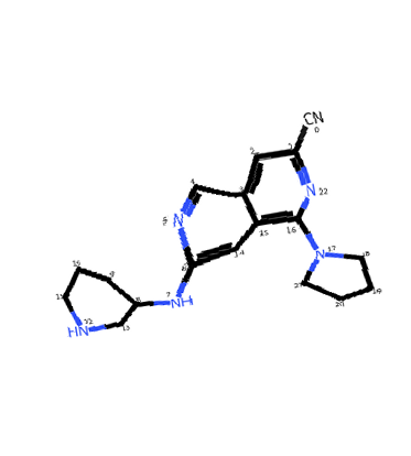 N#Cc1cc2cnc(NC3CCCNC3)cc2c(N2CCCC2)n1